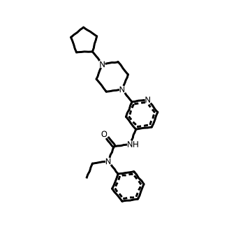 CCN(C(=O)Nc1ccnc(N2CCN(C3CCCC3)CC2)c1)c1ccccc1